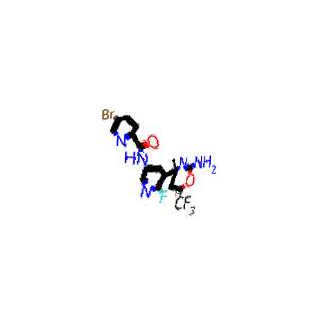 C[C@]1(c2cc(NC(=O)c3ccc(Br)cn3)cnc2F)C[C@@H](C(F)(F)F)OC(N)=N1